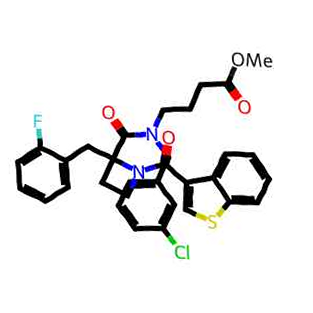 COC(=O)CCCN(Cc1cccc(Cl)c1)C(=O)C1(Cc2ccccc2F)CCN1C(=O)c1csc2ccccc12